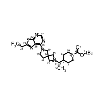 C[C@H](C1CCN(C(=O)OC(C)(C)C)CC1)N1CC2(CCN(c3ncnc4sc(CC(F)(F)F)cc34)C2)C1